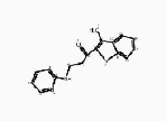 Cc1c(C(=O)CCNc2ccccn2)sc2ccccc12